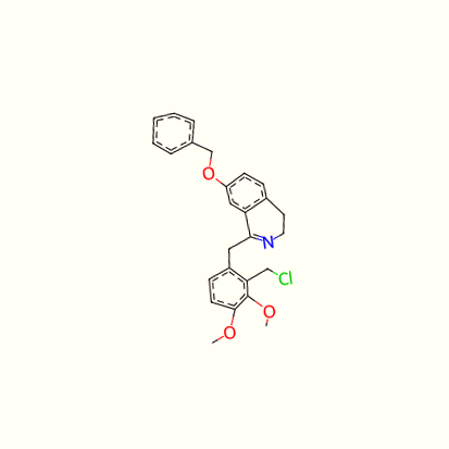 COc1ccc(CC2=NCCc3ccc(OCc4ccccc4)cc32)c(CCl)c1OC